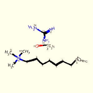 CCCCCCCCCCCCCCCCC[N+](C)(C)C.N=C(N)N.O=C([O-])O